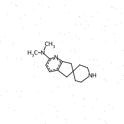 CN(C)c1ccc2c(n1)CC1(CCNCC1)C2